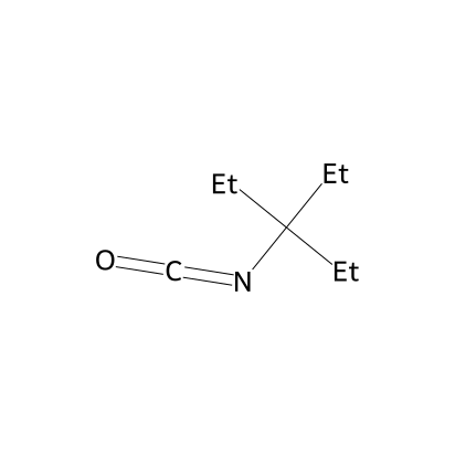 [CH2]CC(CC)(CC)N=C=O